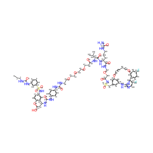 CCCNC(=O)Nc1cccc(S(=O)(=O)Nc2cccc(C(CC(=O)O)NC(=O)Nc3ccc(NC(=O)NCCOCCOCCOCCC(=O)NC(C(=O)NC(CCCNC(N)=O)C(=O)NCOCC(=O)N=S(C)(=O)Cc4cc5cc(c4)OCCCCOc4cc(F)ccc4-c4nc(ncc4F)N5)C(C)C)cc3)c2)c1